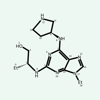 CC[C@H](CO)Nc1nc(N[C@H]2CCNC2)c2ncn(CC)c2n1